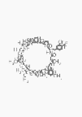 CCC(C)[C@@H]1NC(=O)[C@H](CC(C)C)N(C)C(=O)C[C@@H](C)NC(=O)[C@H](C(C)C)N(C)C(=O)C2(CCCC2)NC(=O)[C@@H]2CCCN2C(=O)[C@H](CCc2ccc(C(F)(F)F)c(Cl)c2)NC(=O)CN(C)C(=O)[C@H](Cc2cccc(C)c2)N(C)C(=O)CN(C)C(=O)CN(C)C1=O